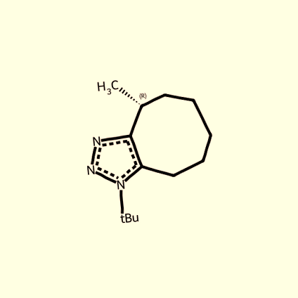 C[C@@H]1CCCCCc2c1nnn2C(C)(C)C